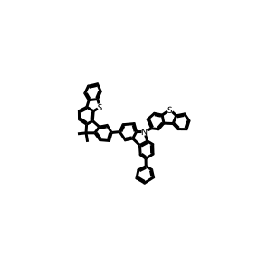 CC1(C)c2ccc(-c3ccc4c(c3)c3cc(-c5ccccc5)ccc3n4-c3ccc4sc5ccccc5c4c3)cc2-c2c1ccc1c2sc2ccccc21